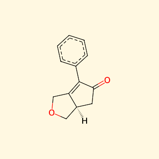 O=C1C[C@H]2COCC2=C1c1ccccc1